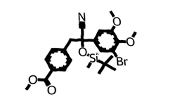 COC(=O)c1ccc(CC(C#N)(O[Si](C)(C)C(C)(C)C)c2cc(Br)c(OC)c(OC)c2)cc1